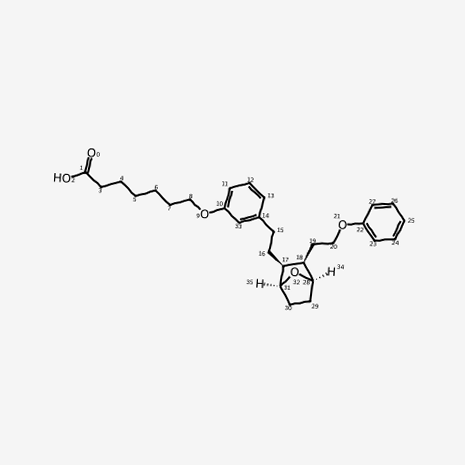 O=C(O)CCCCCCOc1cccc(CC[C@H]2[C@@H](CCOc3ccccc3)[C@H]3CC[C@@H]2O3)c1